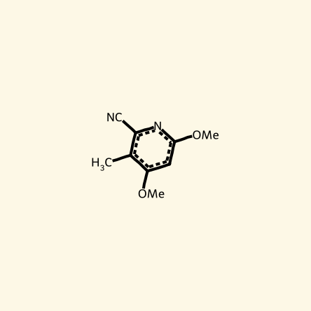 COc1cc(OC)c(C)c(C#N)n1